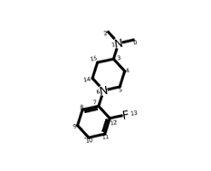 CN(C)C1CCN(C2=CC[CH]C=C2F)CC1